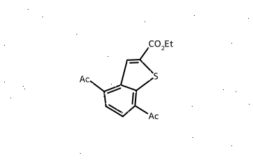 CCOC(=O)c1cc2c(C(C)=O)ccc(C(C)=O)c2s1